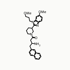 COCCCn1c(C2CCCN(C(=O)CC(N)Cc3ccc4ccccc4c3)C2)nc2ccc(OC)cc21